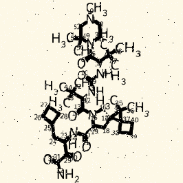 CN1CCN(C(=O)[C@@H](NC(=O)N[C@H](C(=O)N2C[C@]3(C[C@H]2C(=O)NC(CC2CCC2)C(=O)C(N)=O)C(C)(C)C32CCC2)C(C)(C)C)C(C)(C)C)C(C)(C)C1